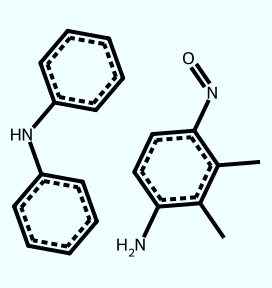 Cc1c(N)ccc(N=O)c1C.c1ccc(Nc2ccccc2)cc1